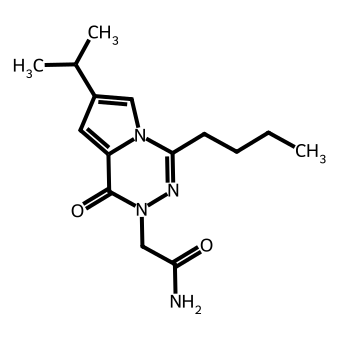 CCCCc1nn(CC(N)=O)c(=O)c2cc(C(C)C)cn12